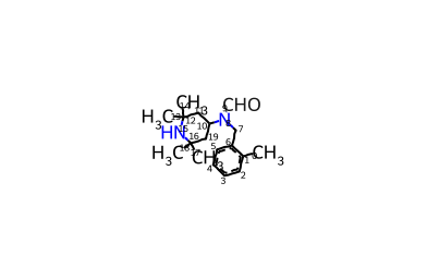 Cc1ccccc1CN(C=O)C1CC(C)(C)NC(C)(C)C1